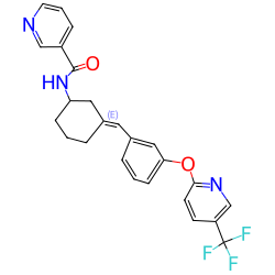 O=C(NC1CCC/C(=C\c2cccc(Oc3ccc(C(F)(F)F)cn3)c2)C1)c1cccnc1